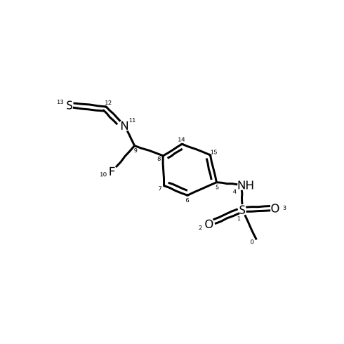 CS(=O)(=O)Nc1ccc(C(F)N=C=S)cc1